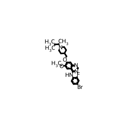 COc1cc2c(Nc3ccc(Br)cc3F)ncnc2cc1OCC1CCN([C@H](C)C(C)C)CC1